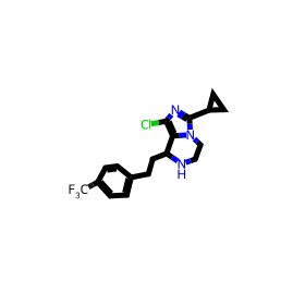 FC(F)(F)c1ccc(CCC2NCCn3c(C4CC4)nc(Cl)c32)cc1